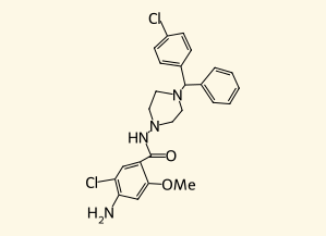 COc1cc(N)c(Cl)cc1C(=O)NN1CCN(C(c2ccccc2)c2ccc(Cl)cc2)CC1